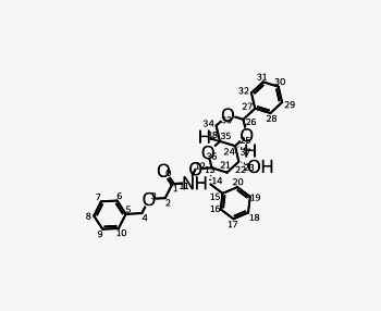 O=C(COCc1ccccc1)NO[C@]1(Cc2ccccc2)C[C@@H](O)[C@@H]2OC(c3ccccc3)OC[C@H]2O1